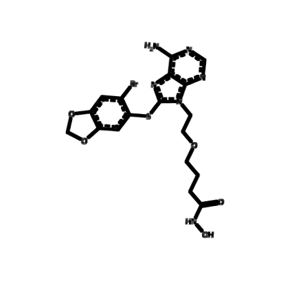 Nc1ncnc2c1nc(Sc1cc3c(cc1Br)OCO3)n2CCOCCCC(=O)NO